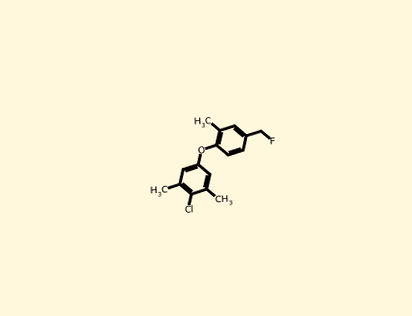 Cc1cc(CF)ccc1Oc1cc(C)c(Cl)c(C)c1